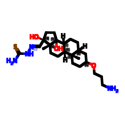 C[C@]12CC[C@H](OCCCN)C[C@H]1CC[C@@H]1[C@@H]2CC[C@]2(C)[C@@](O)(/C=N/NC(N)=S)CC[C@]12O